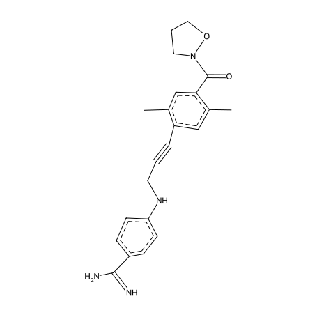 Cc1cc(C(=O)N2CCCO2)c(C)cc1C#CCNc1ccc(C(=N)N)cc1